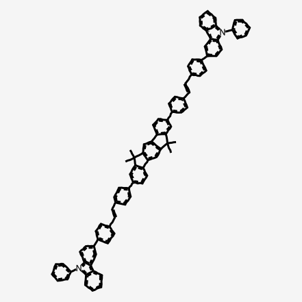 CC1(C)c2cc(-c3ccc(/C=C/c4ccc(-c5ccc6c(c5)c5ccccc5n6-c5ccccc5)cc4)cc3)ccc2-c2cc3c(cc21)-c1ccc(-c2ccc(/C=C/c4ccc(-c5ccc6c(c5)c5ccccc5n6-c5ccccc5)cc4)cc2)cc1C3(C)C